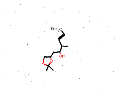 CCOC(=O)C=C[C@@H](C)[C@@H](O)CC1COC(C)(C)O1